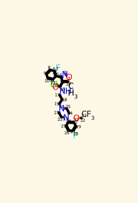 Cc1onc(-c2c(F)cccc2Cl)c1C(=O)NCCCN1CCN(c2ccc(F)cc2OCC(F)(F)F)CC1